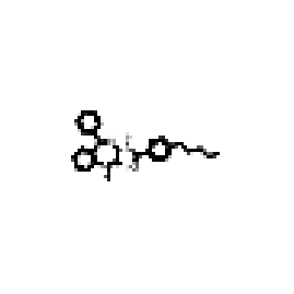 CCCCCc1ccc(C(=O)N[C@H]2N=C(c3ccccc3)c3ccccc3NC2=O)cc1